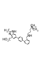 Cc1nc2c(C(=O)O)cc(-c3ccc(-c4ccccc4CNCCCN(C)C)cc3)cc2[nH]1